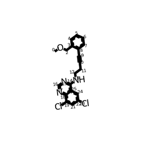 COCc1ccccc1C#CCCNc1ncnc2c(Cl)cc(Cl)cc12